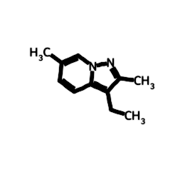 CCc1c(C)nn2cc(C)ccc12